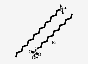 CCCCCCCCCCCCCCCC[N+](C)(C)C.CCCCCCCCCCCCOS(=O)(=O)O.[Br-]